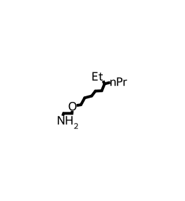 CCCC(CC)CCCCCOCCN